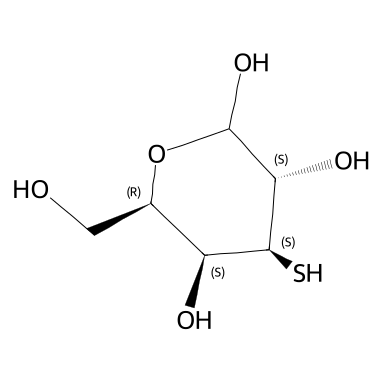 OC[C@H]1OC(O)[C@H](O)[C@@H](S)[C@H]1O